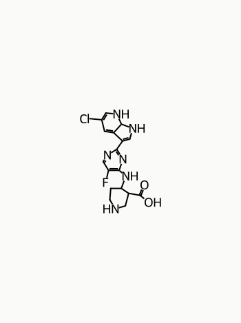 O=C(O)C1CNCCC1Nc1nc(C2=CNC3NC=C(Cl)C=C23)ncc1F